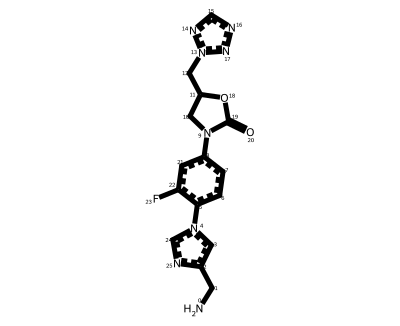 NCc1cn(-c2ccc(N3CC(Cn4ncnn4)OC3=O)cc2F)cn1